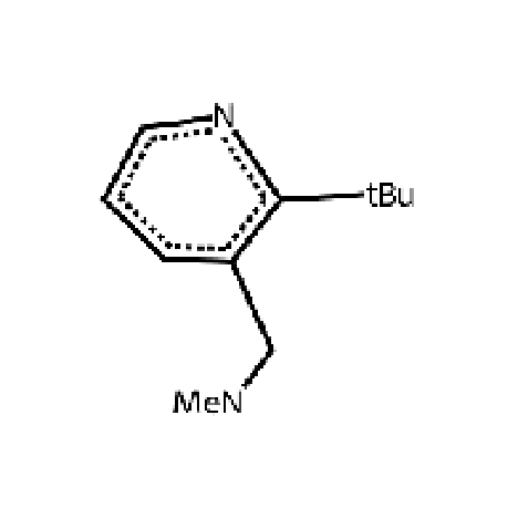 CNCc1cccnc1C(C)(C)C